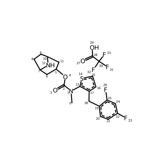 CN(C(=O)OC1CC2CCC(C1)N2)c1sccc1Cc1ccc(F)cc1F.O=C(O)C(F)(F)F